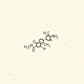 COC(=O)c1cc(C2CC2)c2c(C)c(-c3cnc(N)c(C)c3)ccn2c1=O